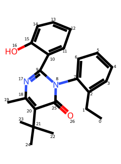 CCc1ccccc1-n1c(-c2ccccc2O)nc(C)c(C(C)(C)C)c1=O